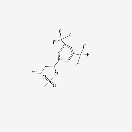 C=CCC(OS(C)(=O)=O)c1cc(C(F)(F)F)cc(C(F)(F)F)c1